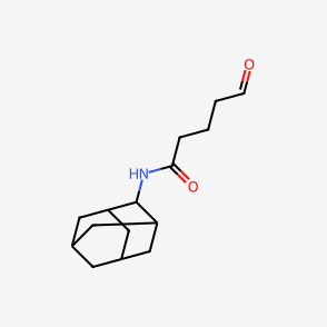 O=CCCCC(=O)NC1C2CC3CC(C2)CC1C3